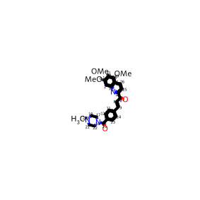 COc1cc2nc(C(=O)C=Cc3ccc(C(=O)N4CCN(C)CC4)cc3)ccc2c(OC)c1OC